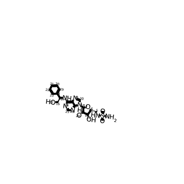 NS(=O)(=O)NC[C@H]1OC(n2cnc3c(N[C@@H](CO)c4ccccc4)ncnc32)[C@H](O)[C@@H]1O